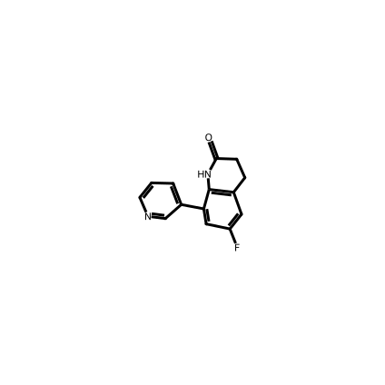 O=C1CCc2cc(F)cc(-c3cccnc3)c2N1